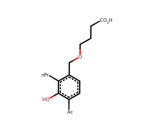 CCCc1c(COCCCC(=O)O)ccc(C(C)=O)c1O